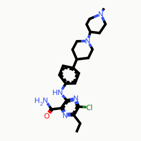 CCc1nc(C(N)=O)c(Nc2ccc(C3CCN(C4CCN(C)CC4)CC3)cc2)nc1Cl